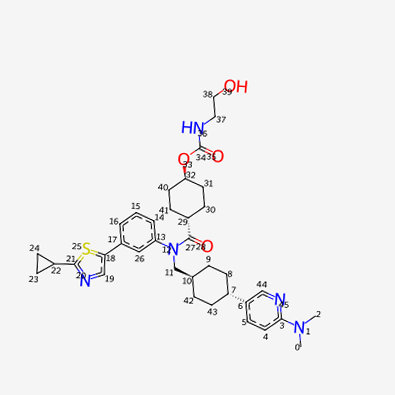 CN(C)c1ccc([C@H]2CC[C@H](CN(c3cccc(-c4cnc(C5CC5)s4)c3)C(=O)[C@H]3CC[C@H](OC(=O)NCCO)CC3)CC2)cn1